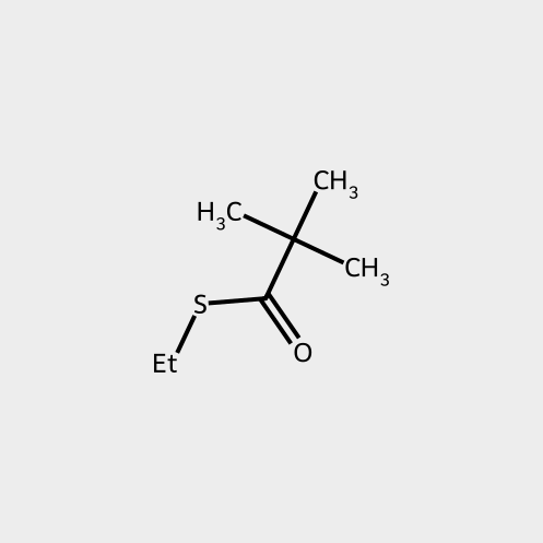 [CH]CSC(=O)C(C)(C)C